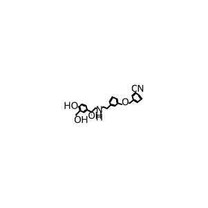 N#Cc1cccc(COCc2cccc(CCNC[C@H](O)c3ccc(O)c(CO)c3)c2)c1